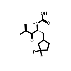 C=C(C)C(=O)[C@@H](CC1CCC(F)(F)C1)NC(=O)O